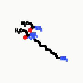 C=CC(N)=O.C=CC(N)=O.NCCCCCCCCCN